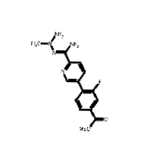 COC(=O)c1ccc(-c2ccc(/C(N)=N/N(C)N)nc2)c(F)c1